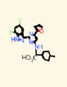 CC1CCC([C@@H](CNc2cc(-c3ccco3)nc(-c3n[nH]c4c(F)cc(F)cc34)n2)C(=O)O)CC1